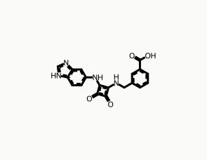 O=C(O)c1cccc(CNc2c(Nc3ccc4[nH]cnc4c3)c(=O)c2=O)c1